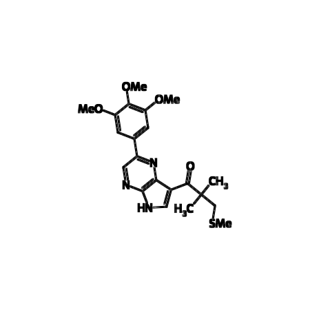 COc1cc(-c2cnc3[nH]cc(C(=O)C(C)(C)CSC)c3n2)cc(OC)c1OC